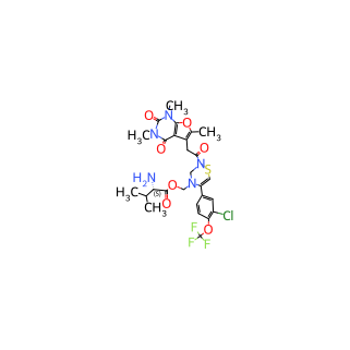 Cc1oc2c(c1CC(=O)N1CN(COC(=O)[C@@H](N)C(C)C)C(c3ccc(OC(F)(F)F)c(Cl)c3)=CS1)c(=O)n(C)c(=O)n2C